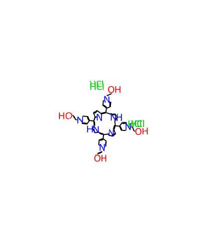 Cl.Cl.Cl.Cl.OCCN1C=CC(c2c3nc(c(C4=CCN(CCO)C=C4)c4ccc([nH]4)c(C4=CCN(CCO)C=C4)c4nc(c(C5=CCN(CCO)C=C5)c5ccc2[nH]5)C=C4)C=C3)=CC1